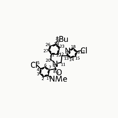 CNc1ccc(Cl)cc1C(=O)N(CCc1ccc(Cl)cn1)Cc1ccc(C(C)(C)C)cc1